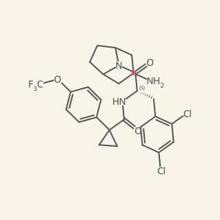 NC1CC2CCC(C1)N2C(=O)[C@H](Cc1ccc(Cl)cc1Cl)NC(=O)C1(c2ccc(OC(F)(F)F)cc2)CC1